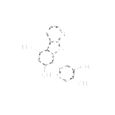 Cc1cnc(-c2c(C)cc(C)c3c2oc2ncccc23)cc1C